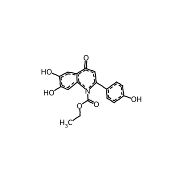 CCOC(=O)n1c(-c2ccc(O)cc2)cc(=O)c2cc(O)c(O)cc21